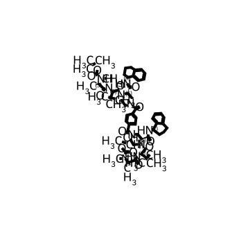 C[C@@H](C(=O)N[C@H](C(=O)N1CCN(C(=O)c2ccc(C(=O)N3CCN(C(=O)[C@@H](NC(=O)[C@H](C)N(C)C(=O)OC(C)(C)C)C(C)(C)C)[C@H](C(=O)N[C@@H]4CCCc5ccccc54)C3)cc2)C[C@H]1C(=O)N[C@@H]1CCCc2ccccc21)C(C)(C)C)N(C)C(=O)OC(C)(C)C